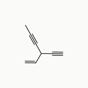 C#CC(C#CC)C=C